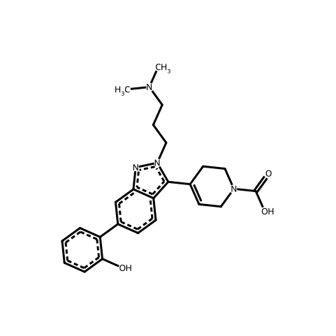 CN(C)CCCn1nc2cc(-c3ccccc3O)ccc2c1C1=CCN(C(=O)O)CC1